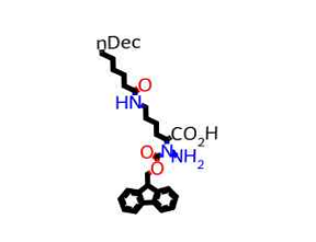 CCCCCCCCCCCCCCCC(=O)NCCCCC(C(=O)O)N(N)C(=O)OCC1c2ccccc2-c2ccccc21